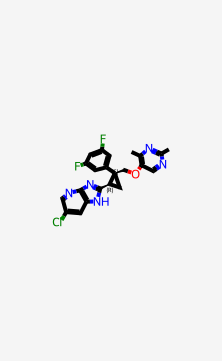 Cc1ncc(OC[C@@]2(c3cc(F)cc(F)c3)C[C@H]2c2nc3ncc(Cl)cc3[nH]2)c(C)n1